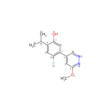 COc1cc(-c2cc(O)c(C(C)C)cc2F)cnn1